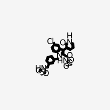 CS(=O)(=O)NCc1cccc(Cn2c(C(=O)NS(C)(=O)=O)c(-c3ccc[nH]c3=O)c3cc(Cl)ccc32)c1